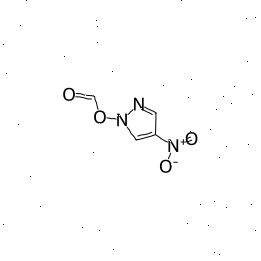 O=COn1cc([N+](=O)[O-])cn1